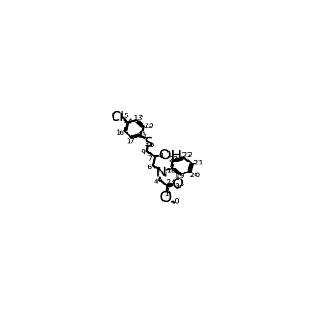 COC(=O)CN(CC(O)CSc1ccc(Cl)cc1)c1ccccc1